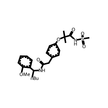 CCCCC(NC(=O)Cc1ccc(OC(C)(C)C(=O)NS(C)(=O)=O)cc1)c1ccccc1OC